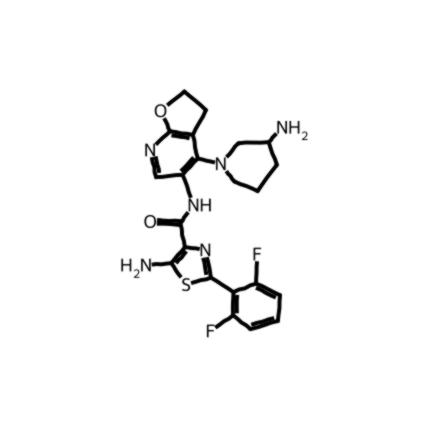 Nc1sc(-c2c(F)cccc2F)nc1C(=O)Nc1cnc2c(c1N1CCCC(N)C1)CCO2